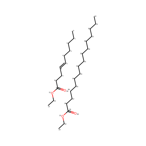 CCCCC/C=C/CCC(=O)OCC.CCCCCCCCCCCCCCCC(=O)OCC